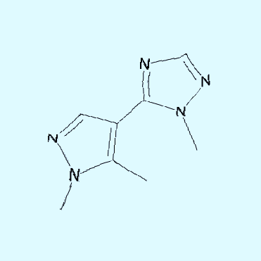 Cc1c(-c2ncnn2C)cnn1C